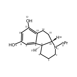 CCCN1CCC[C@H]2c3cc(O)cc(O)c3CC[C@@H]21